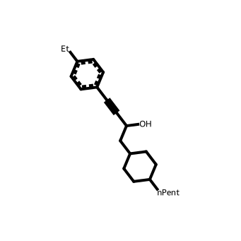 CCCCCC1CCC(CC(O)C#Cc2ccc(CC)cc2)CC1